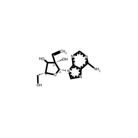 C=C[C@]1(O)C(O)[C@@H](CO)O[C@H]1n1cnc2c(N)ncnc21